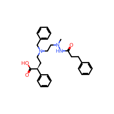 CN(CCN(CC[C@H](C(=O)O)c1ccccc1)Cc1ccccc1)NC(=O)CCc1ccccc1